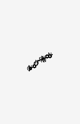 Cc1ccc2cc(-c3nnc(SCCN4CCc5ccc(-c6cc(C)on6)cc5CC4)n3C)ccc2n1